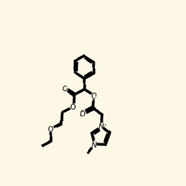 CCOCCOC(=O)C(OC(=O)C[n+]1ccn(C)c1)c1ccccc1